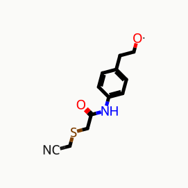 N#CCSCC(=O)Nc1ccc(CC[O])cc1